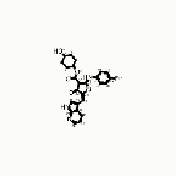 O=C(OC1CCC(O)CC1)C1=C(Nc2ccc(F)cc2)OC(=Cc2c[nH]c3ncccc23)C1=O